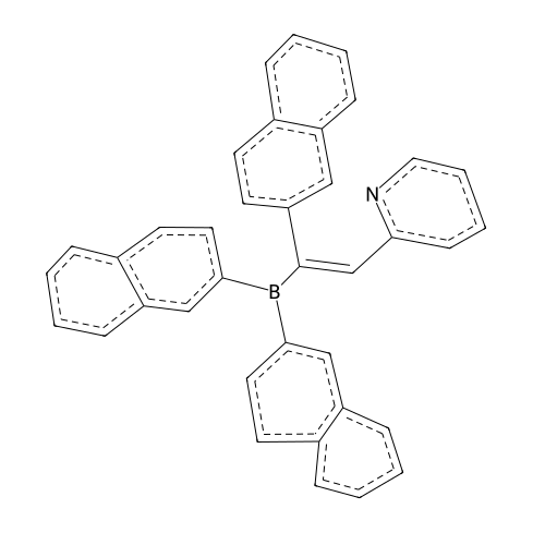 C(=C(B(c1ccc2ccccc2c1)c1ccc2ccccc2c1)c1ccc2ccccc2c1)c1ccccn1